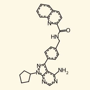 Nc1ncnc2c1c(-c1ccc(CNC(=O)c3ccc4ccccc4n3)cc1)nn2C1CCCC1